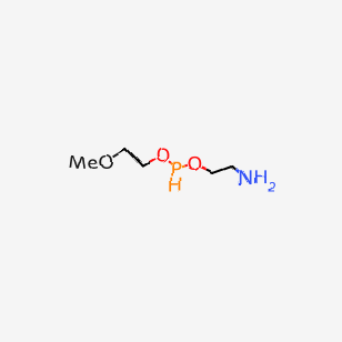 COCCOPOCCN